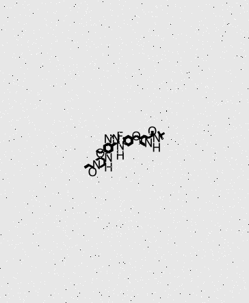 C=CC(=O)N1CCC(Nc2cc3c(Nc4ccc(Oc5ccnc(C(=O)NC(C)(C)C)c5)cc4F)ncnc3cc2OC)CC1